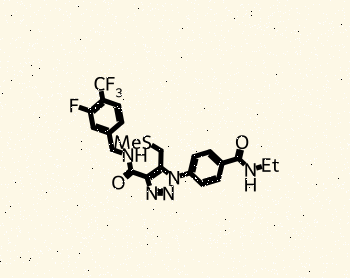 CCNC(=O)c1ccc(-n2nnc(C(=O)NCc3ccc(C(F)(F)F)c(F)c3)c2CSC)cc1